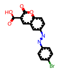 O=C(O)c1cc2cc(N=Nc3ccc(Br)cc3)ccc2oc1=O